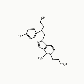 Cc1c(CCC(=O)O)ccc2c1nnn2CC(CCO)c1ccc(C(F)(F)F)cc1